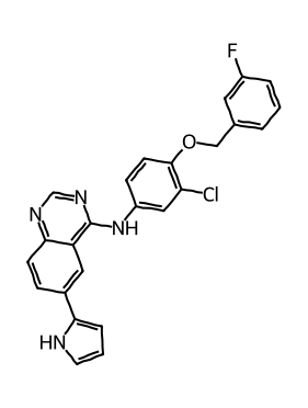 Fc1cccc(COc2ccc(Nc3ncnc4ccc(-c5ccc[nH]5)cc34)cc2Cl)c1